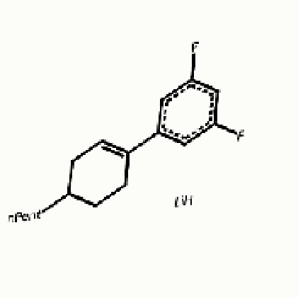 CCCCCC1CC=C(c2cc(F)cc(F)c2)CC1.[LiH]